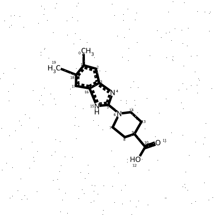 Cc1cc2nc(N3CCC(C(=O)O)CC3)[nH]c2cc1C